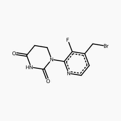 O=C1CCN(c2nccc(CBr)c2F)C(=O)N1